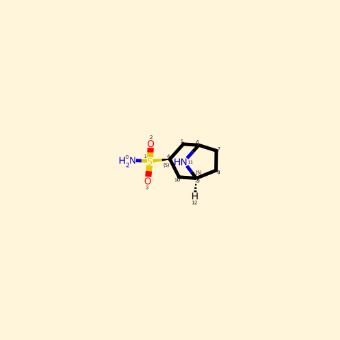 NS(=O)(=O)[C@H]1CC2CC[C@@H](C1)N2